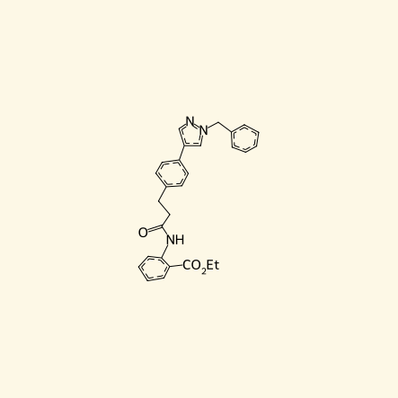 CCOC(=O)c1ccccc1NC(=O)CCc1ccc(-c2cnn(Cc3ccccc3)c2)cc1